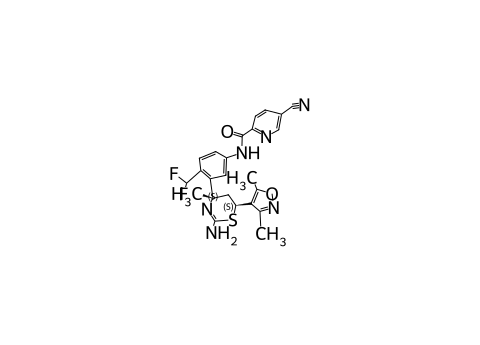 Cc1noc(C)c1[C@@H]1C[C@@](C)(c2cc(NC(=O)c3ccc(C#N)cn3)ccc2C(F)F)N=C(N)S1